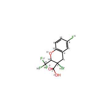 O=C(O)C1(Br)Cc2cc(F)ccc2OC1C(F)(F)F